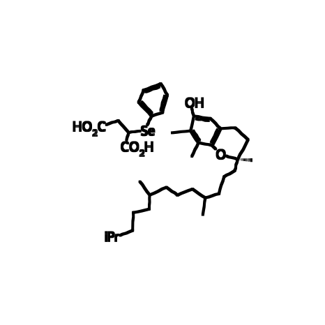 Cc1c(O)cc2c(c1C)O[C@](C)(CCCC(C)CCCC(C)CCCC(C)C)CC2.O=C(O)CC([Se]c1ccccc1)C(=O)O